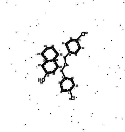 Clc1ccc(COCc2ccc(Cl)cc2)cc1.Oc1ccc2ccccc2c1